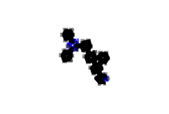 C1=CC2c3cc(-c4cccnc4)ccc3-c3ccc(-c4cccc(-c5nc(-c6ccccc6)nc(-c6ccccc6)n5)c4)cc3C2C=C1